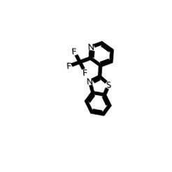 FC(F)(F)c1ncccc1-c1nc2ccccc2s1